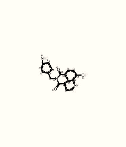 Nc1ccc(CN2C(=O)c3ccnc4c(O)ccc(c34)C2=O)cc1